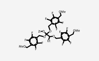 CCC(OCc1c(F)c(F)c(COC)c(F)c1F)C([O][Zr])(OCc1c(F)c(F)c(COC)c(F)c1F)OCc1c(F)c(F)c(COC)c(F)c1F